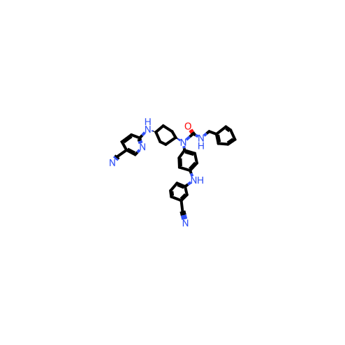 N#Cc1ccc(N[C@H]2CC[C@H](N(C(=O)NCc3ccccc3)c3ccc(Nc4cccc(C#N)c4)cc3)CC2)nc1